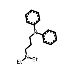 CCN(CC)CCCN(c1ccccc1)c1ccccc1